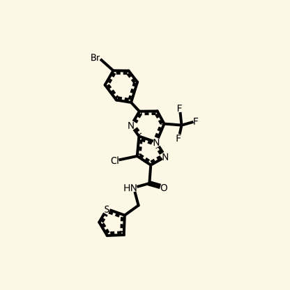 O=C(NCc1cccs1)c1nn2c(C(F)(F)F)cc(-c3ccc(Br)cc3)nc2c1Cl